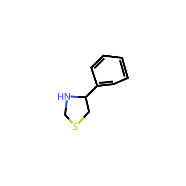 c1ccc(C2CSCN2)cc1